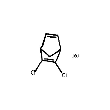 ClC1=C(Cl)C2C=CC1C2.[Ru]